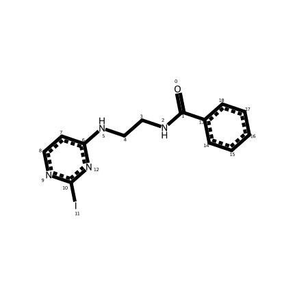 O=C(NCCNc1ccnc(I)n1)c1ccccc1